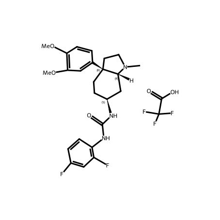 COc1ccc([C@]23CC[C@H](NC(=O)Nc4ccc(F)cc4F)C[C@H]2N(C)CC3)cc1OC.O=C(O)C(F)(F)F